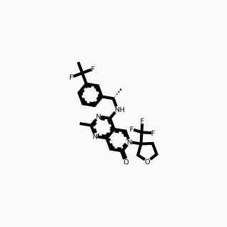 Cc1nc(N[C@@H](C)c2cccc(C(C)(F)F)c2)c2cn(C3(C(F)(F)F)CCOC3)c(=O)cc2n1